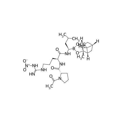 CC(=O)N1CCC[C@H]1C(=O)N[C@@H](CCCNC(=N)N[N+](=O)[O-])C(=O)N[C@@H](CC(C)C)B1O[C@@H]2C[C@@H]3C[C@@H](C3(C)C)[C@]2(C)O1